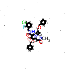 CN1C[C@]2(C[C@@H](COCc3ccccc3)C2)n2cc(C(=O)NCc3cccc(Cl)c3F)c(=O)c(OCc3ccccc3)c2CC1=O